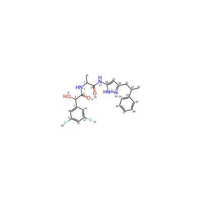 CC(NC(=O)C(O)c1cc(F)cc(F)c1)C(=O)Nc1cc(CC(C)c2ccccc2)n[nH]1